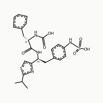 CC(C)c1nc([C@H](Cc2ccc(NS(=O)(=O)O)cc2)NC(=O)[C@H](Cc2ccccc2)NC(=O)O)cs1